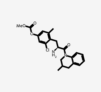 COC(=O)Oc1cc(C)c(C[C@H](N)C(=O)N2CC(C)Cc3ccccc32)c(Cl)c1